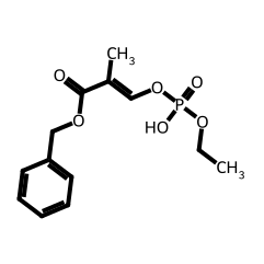 CCOP(=O)(O)OC=C(C)C(=O)OCc1ccccc1